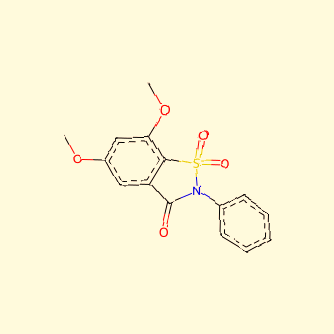 COc1cc(OC)c2c(c1)C(=O)N(c1ccccc1)S2(=O)=O